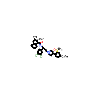 COc1ccc(C2CCN(CCC(CNC(=O)c3c(OC)c(C#N)cc4ccccc34)c3ccc(Cl)c(Cl)c3)CC2)c([S@+](C)[O-])c1